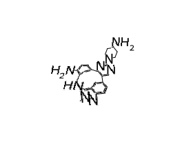 Cn1nc2ccc3cc2c1NCc1cc(ccc1N)-c1nc(N2CCC(N)CC2)ncc1-3